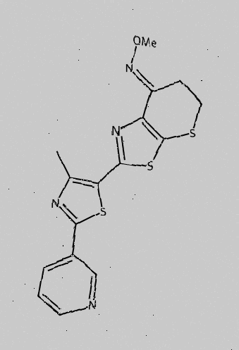 CO/N=C1\CCSc2sc(-c3sc(-c4cccnc4)nc3C)nc21